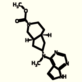 COC(=O)N1CC[C@H]2C[C@H](N(C)c3ncnc4[nH]ccc34)C[C@H]2C1